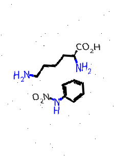 NCCCC[C@H](N)C(=O)O.O=[N+]([O-])Nc1ccccc1